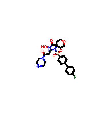 O=C(CCN(C1(C(=O)NO)CCOCC1)S(=O)(=O)c1ccc(-c2ccc(F)cc2)cc1)N1CCNCC1